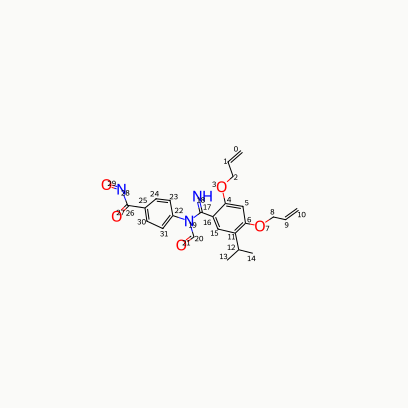 C=CCOc1cc(OCC=C)c(C(C)C)cc1C(=N)N(C=O)c1ccc(C(=O)N=O)cc1